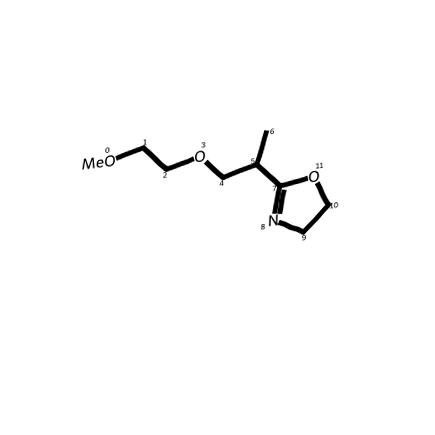 COCCOCC(C)C1=NCCO1